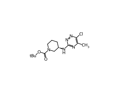 Cc1nc(N[C@@H]2CCCN(C(=O)OC(C)(C)C)C2)nnc1Cl